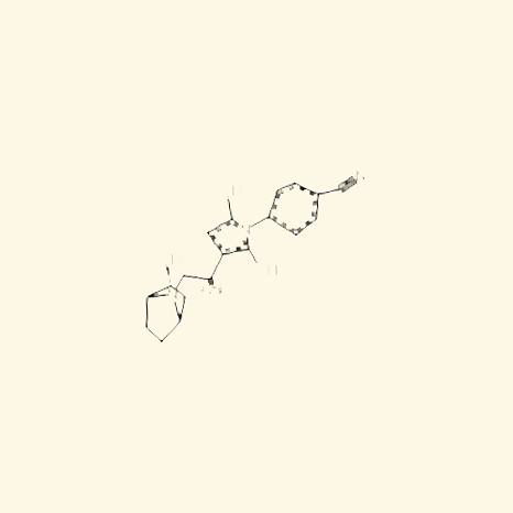 Cc1cc(C(=O)CN2C3CCC2[C@@H](C)[C@@H]3C)c(C)n1-c1ccc(C#N)cc1